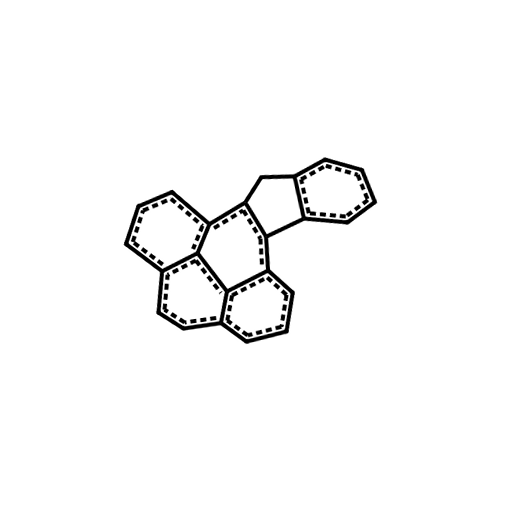 c1ccc2c(c1)Cc1c-2c2cccc3ccc4cccc1c4c32